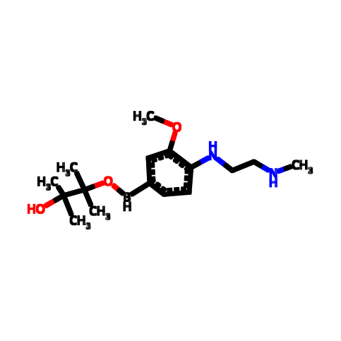 CNCCNc1ccc(BOC(C)(C)C(C)(C)O)cc1OC